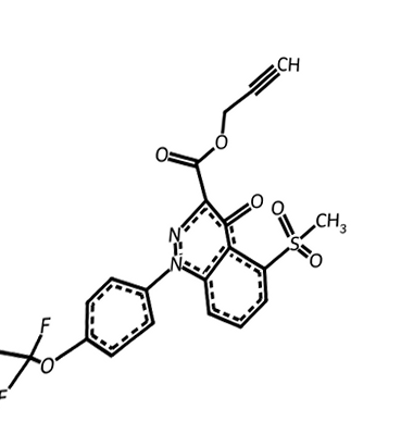 C#CCOC(=O)c1nn(-c2ccc(OC(F)(F)F)cc2)c2cccc(S(C)(=O)=O)c2c1=O